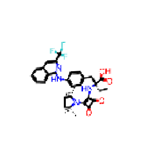 CC[C@@](Cc1ccc(Nc2nc(C(F)(F)F)cc3ccccc23)cc1)(Nc1c(N2[C@H](C)CC[C@@H]2C)c(=O)c1=O)C(=O)O